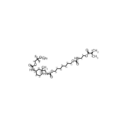 C=C(C)C(=O)OCCNC(=O)OCCCCCCCOC(=O)NCC1(C)CCCC(NC(=O)OCC(F)(F)OCCC)C1